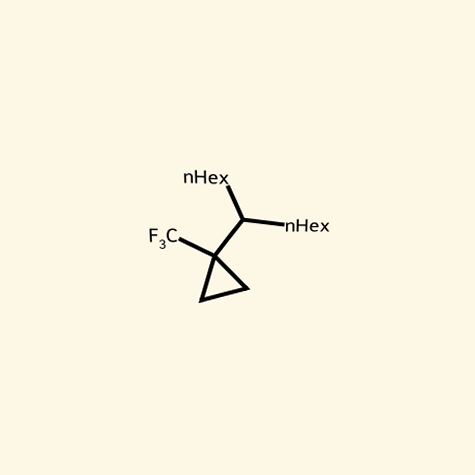 CCCCCCC(CCCCCC)C1(C(F)(F)F)CC1